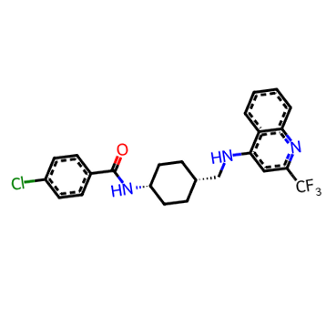 O=C(N[C@H]1CC[C@@H](CNc2cc(C(F)(F)F)nc3ccccc23)CC1)c1ccc(Cl)cc1